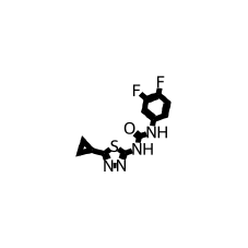 O=C(Nc1ccc(F)c(F)c1)Nc1nnc(C2CC2)s1